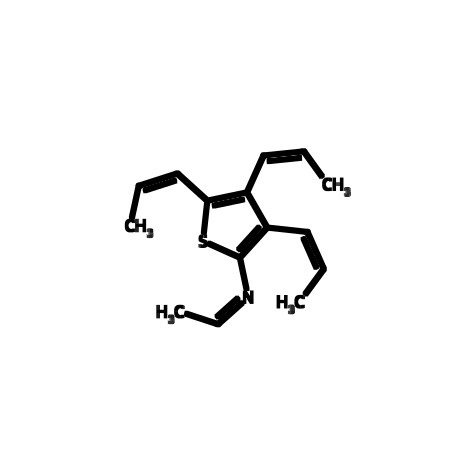 C/C=C\c1sc(/N=C\C)c(/C=C\C)c1/C=C\C